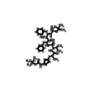 CC(C)[C@H](NC(=O)N(C)Cc1csc(NC(=O)OC(C)(C)C)n1)C(=O)N[C@@H](Cc1ccccc1)[C@H](O)[C@H](O)[C@H](Cc1ccccc1)NC(=O)OC(C)(C)C